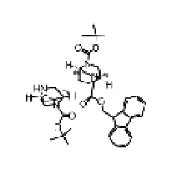 CC(C)(C)OC(=O)N1C[C@H]2CC[C@@H]1CN2.CC(C)(C)OC(=O)N1C[C@H]2CC[C@@H]1CN2C(=O)OCC1c2ccccc2-c2ccccc21